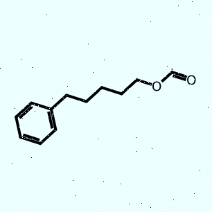 O=[C]OCCCCCc1ccccc1